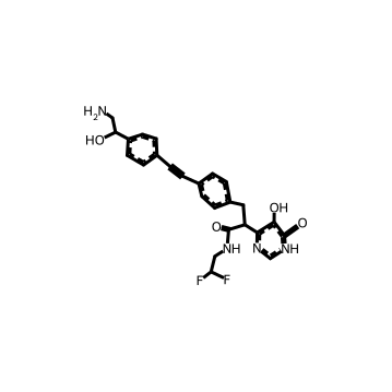 NCC(O)c1ccc(C#Cc2ccc(CC(C(=O)NCC(F)F)c3nc[nH]c(=O)c3O)cc2)cc1